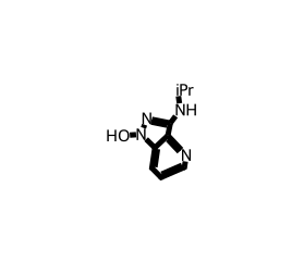 CC(C)Nc1nn(O)c2cccnc12